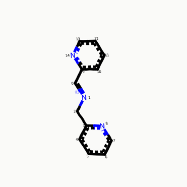 C(=N\Cc1ccccn1)/c1ccccn1